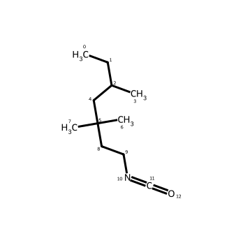 CCC(C)CC(C)(C)CCN=C=O